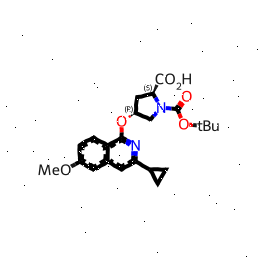 COc1ccc2c(O[C@@H]3C[C@@H](C(=O)O)N(C(=O)OC(C)(C)C)C3)nc(C3CC3)cc2c1